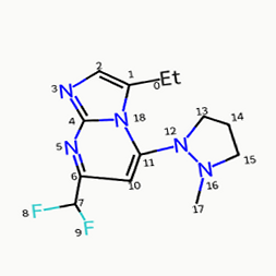 CCc1cnc2nc(C(F)F)cc(N3CCCN3C)n12